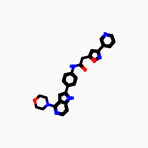 O=C(Cc1cc(-c2cccnc2)no1)Nc1ccc(-c2cc3c(N4CCOCC4)nccc3[nH]2)cc1